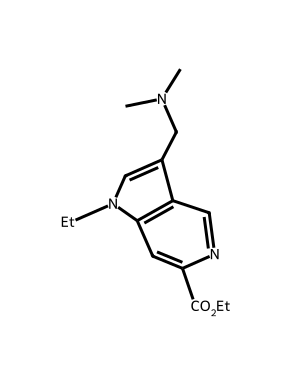 CCOC(=O)c1cc2c(cn1)c(CN(C)C)cn2CC